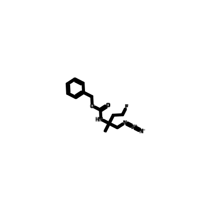 CC(CCF)(CN=[N+]=[N-])NC(=O)OCc1ccccc1